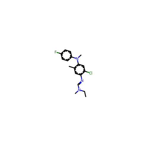 CCN(C)C=Nc1cc(C)c(N(C)c2ccc(F)cc2)cc1Cl